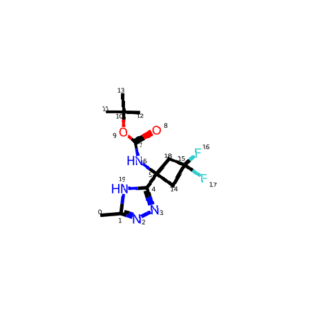 Cc1nnc(C2(NC(=O)OC(C)(C)C)CC(F)(F)C2)[nH]1